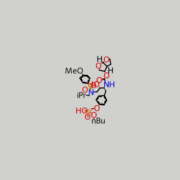 CCCCOP(=O)(O)COc1ccc(C[C@H](NC(=O)O[C@H]2CO[C@H]3OCC[C@H]32)[C@H](O)CN(CC(C)C)S(=O)(=O)c2ccc(OC)cc2)cc1